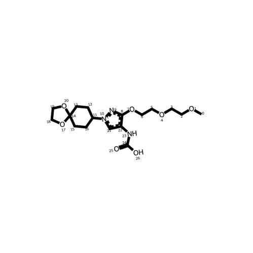 COCCOCCOc1nn(C2CCC3(CC2)OCCO3)cc1NC(=O)O